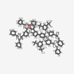 CC(C)(C)c1cc(N2c3ccc(C(=O)OCc4ccccc4)cc3B3c4cc(C(=O)OCc5ccccc5)ccc4N(c4cc(C(C)(C)C)cc(C(C)(C)C)c4)c4cc(-c5ccc6c(c5)c5ccccc5n6-c5ccc(-c6nc(-c7ccccc7)nc(-c7ccccc7)n6)cc5-c5nc(-c6ccccc6)nc(-c6ccccc6)n5)cc2c43)cc(C(C)(C)C)c1